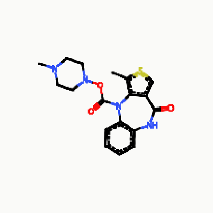 Cc1scc2c1N(C(=O)ON1CCN(C)CC1)c1ccccc1NC2=O